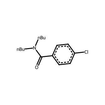 CCCCN(CCCC)C(=O)c1ccc(Cl)cc1